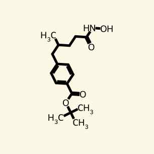 CC(CCC(=O)NO)Cc1ccc(C(=O)OC(C)(C)C)cc1